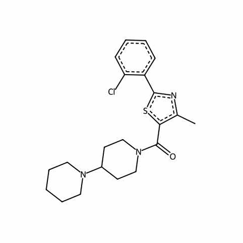 Cc1nc(-c2ccccc2Cl)sc1C(=O)N1CCC(N2CCCCC2)CC1